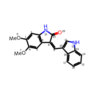 COc1cc2c(cc1OC)C(=Cc1c[nH]c3ccccc13)C(=O)N2